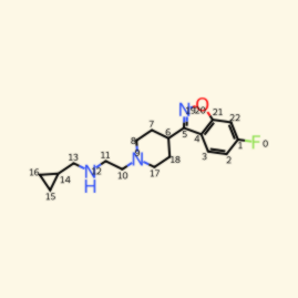 Fc1ccc2c(C3CCN(CCNCC4CC4)CC3)noc2c1